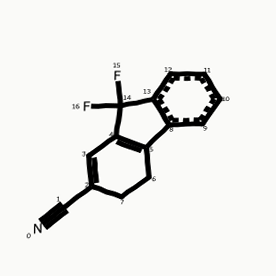 N#CC1=CC2=C(CC1)c1ccccc1C2(F)F